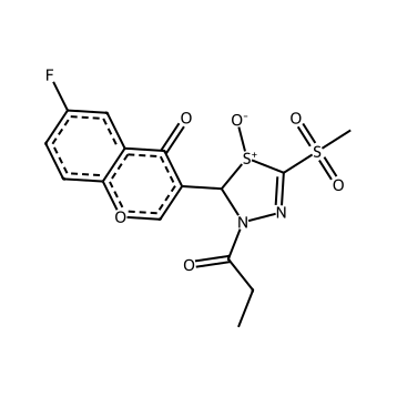 CCC(=O)N1N=C(S(C)(=O)=O)[S+]([O-])C1c1coc2ccc(F)cc2c1=O